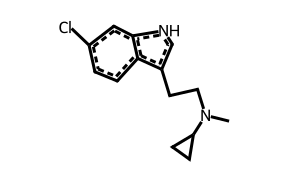 CN(CCc1c[nH]c2cc(Cl)ccc12)C1CC1